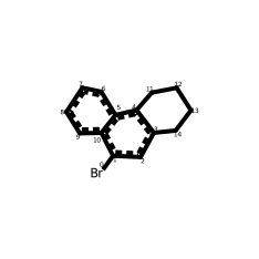 Brc1cc2c(c3ccccc13)CCCC2